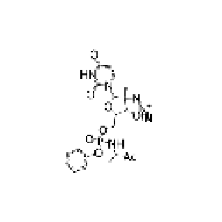 CC(=O)[C@H](C)NP(=O)(OC[C@H]1O[C@@H](n2ccc(=O)[nH]c2=O)[C@](C)(N=[N+]=[N-])[C@@H]1O)Oc1ccccc1